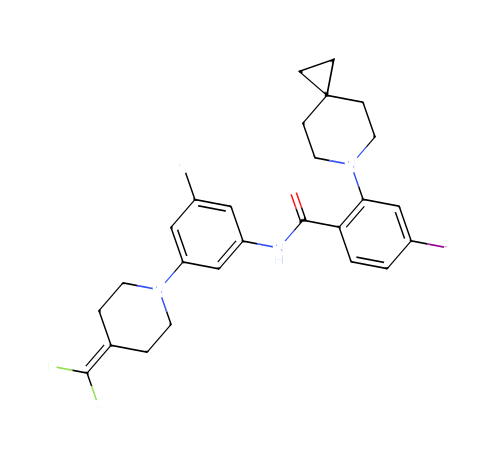 Cc1cc(NC(=O)c2ccc(I)cc2N2CCC3(CC2)CC3)cc(N2CCC(=C(F)F)CC2)c1